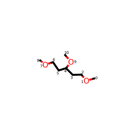 COCC[C](CCOC)OC